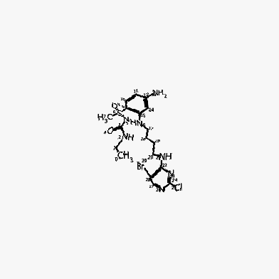 CCNC(=O)N=S(C)(=O)c1ccc(N)cc1NCCCCNc1nc(Cl)ncc1Br